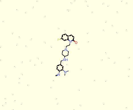 C=Nc1ccc(CNC2CCN(CCn3c(=O)ccc4ccc(F)cc43)CC2)cc1N(C)C